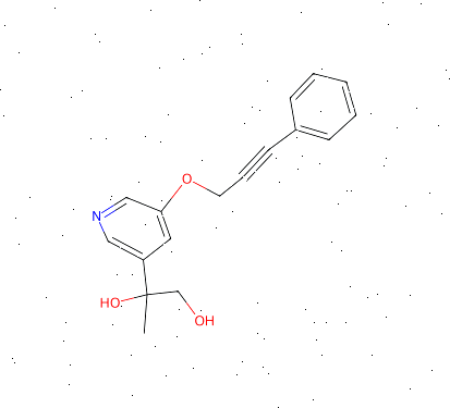 CC(O)(CO)c1cncc(OCC#Cc2ccccc2)c1